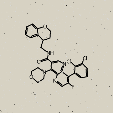 O=C(NCC1CCOc2ccccc21)c1cnc2c(-c3cccc(Cl)c3Cl)c(F)cnc2c1N1CCOCC1